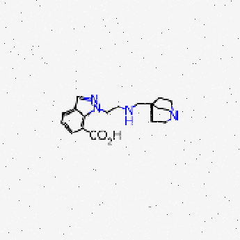 O=C(O)c1cccc2cnn(CCNCC34CCN(CC3)CC4)c12